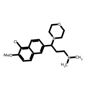 COc1ccc2cc(C(CCN(C)C)N3CCOCC3)ccc2c1Cl